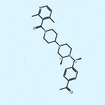 CC(=O)c1ccc([C@H](C)N2CCN(C3CCN(C(=O)c4c(C)ccnc4C)CC3)C[C@@H]2C)cc1